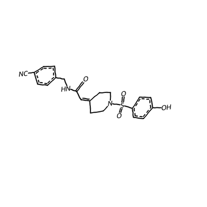 N#Cc1ccc(CNC(=O)C=C2CCN(S(=O)(=O)c3ccc(O)cc3)CC2)cc1